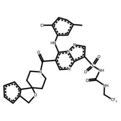 Cc1ccc(Cl)c(Nc2c(C(=O)N3CCC4(CC3)OCc3ccccc34)cnc3c(S(=O)(=O)NC(=O)NCC(F)(F)F)cnn23)c1